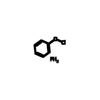 ClOc1ccccc1.P